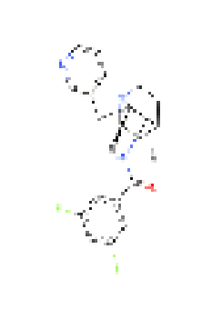 O=C(N[C@@H]1C2CCN(CC2)[C@H]1Cc1cccnc1)c1cc(F)cc(F)c1